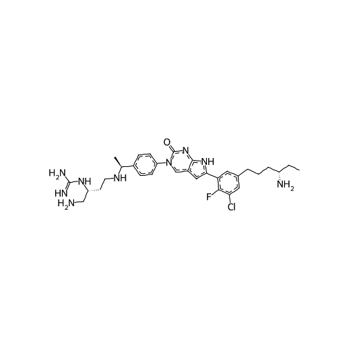 CC[C@H](N)CCCc1cc(Cl)c(F)c(-c2cc3cn(-c4ccc([C@H](C)NCC[C@H](CN)NC(=N)N)cc4)c(=O)nc3[nH]2)c1